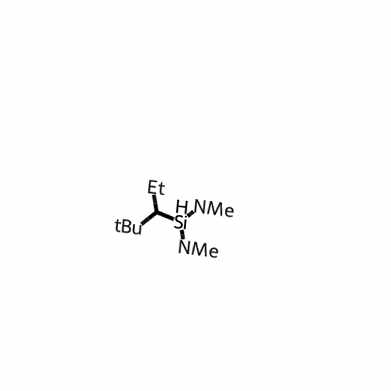 CCC([SiH](NC)NC)C(C)(C)C